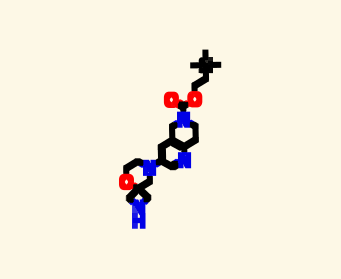 C[Si](C)(C)CCOC(=O)N1CCc2ncc(N3CCOC4(CNC4)C3)cc2C1